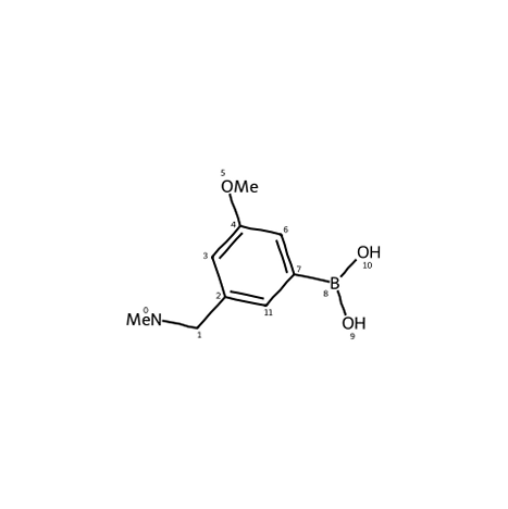 CNCc1cc(OC)cc(B(O)O)c1